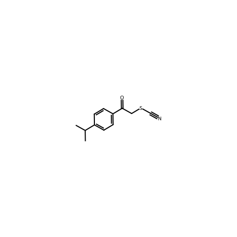 CC(C)c1ccc(C(=O)CSC#N)cc1